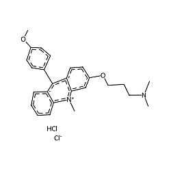 COc1ccc(-c2c3ccccc3[n+](C)c3cc(OCCCN(C)C)ccc23)cc1.Cl.[Cl-]